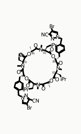 CC(C)C[C@H]1C(=O)O[C@H](Cc2ccc(Cn3cc(Br)c(C#N)n3)cc2)C(=O)N(C)[C@@H](CC(C)C)C(=O)O[C@H](C)C(=O)N(C)[C@@H](CC(C)C)C(=O)O[C@H](Cc2ccc(Cn3cc(Br)c(C#N)n3)cc2)C(=O)N(C)[C@@H](CC(C)C)C(=O)O[C@H](C)C(=O)N1C